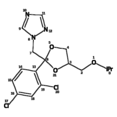 CC(C)OCC1COC(Cn2cncn2)(c2ccc(Cl)cc2Cl)O1